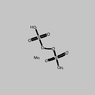 O=S(=O)(O)OOS(=O)(=O)O.[Mn]